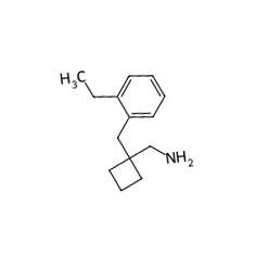 CCc1ccccc1CC1(CN)CCC1